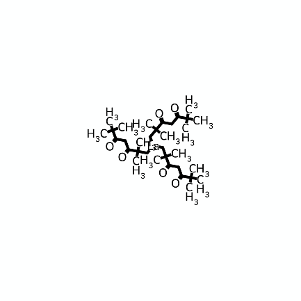 CC(C)(C)C(=O)CC(=O)C(C)(C)[CH2][La]([CH2]C(C)(C)C(=O)CC(=O)C(C)(C)C)[CH2]C(C)(C)C(=O)CC(=O)C(C)(C)C